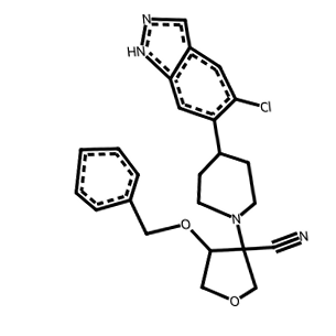 N#CC1(N2CCC(c3cc4[nH]ncc4cc3Cl)CC2)COCC1OCc1ccccc1